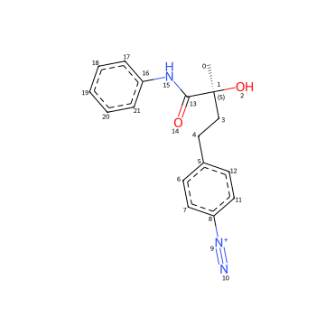 C[C@](O)(CCc1ccc([N+]#N)cc1)C(=O)Nc1ccccc1